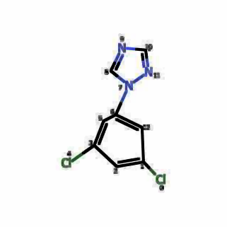 Clc1cc(Cl)cc(-n2cn[c]n2)c1